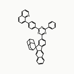 c1ccc(-c2nc(-c3ccc(-c4cccc5cccnc45)cc3)nc(-c3ccc4c(c3)C3(c5cc6ccccc6cc5-4)C4CC5CC(C4)CC3C5)n2)cc1